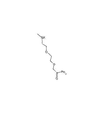 CNCCOCCOCC(=O)P